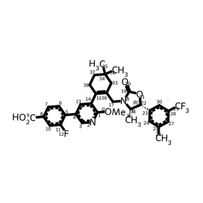 COc1ncc(-c2ccc(C(=O)O)cc2F)cc1C1=C(CN2C(=O)O[C@H](c3cc(C)cc(C(F)(F)F)c3)[C@@H]2C)CC(C)(C)CC1